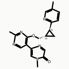 Cc1ccc([C@H]2C[C@@H]2COc2nc(C)ncc2-c2cn(C)c(=O)cn2)nc1